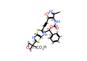 Cc1noc(C#Cc2nc3sc(C4(C(=O)O)COC4)nc3s2)c1NC(=O)OC(C)c1ccccc1